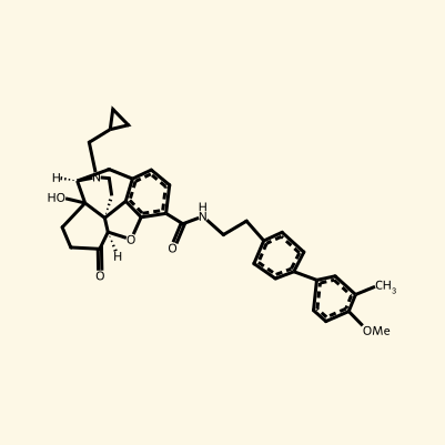 COc1ccc(-c2ccc(CCNC(=O)c3ccc4c5c3O[C@H]3C(=O)CCC6(O)[C@@H](C4)N(CC4CC4)CC[C@]536)cc2)cc1C